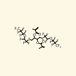 C=C(C)C(=O)OC(CSC(F)(F)C(F)OC(F)(F)C(F)(F)C(F)(F)F)C(CSC(F)(F)C(F)OC(F)(F)C(F)(F)C(F)(F)F)OC(=O)C(=C)C